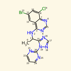 CC(Nc1ncnc2c(Cl)cc(Br)cc12)c1ncnn1-c1ncccn1